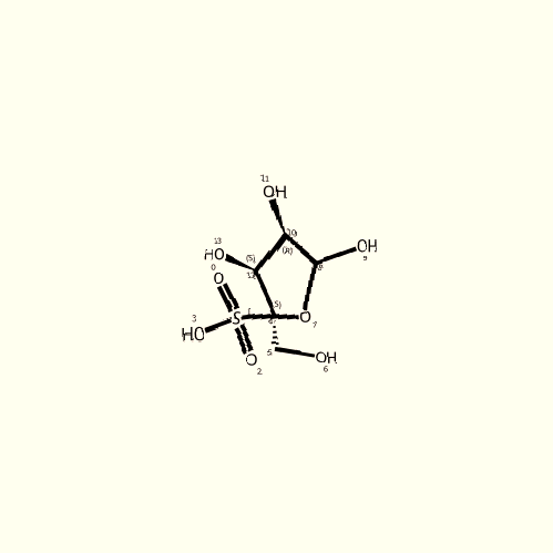 O=S(=O)(O)[C@]1(CO)OC(O)[C@H](O)[C@@H]1O